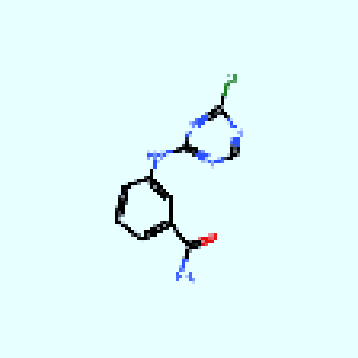 NC(=O)c1cccc(Nc2ncnc(Cl)n2)c1